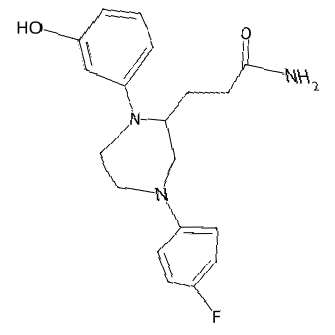 NC(=O)CCC1CN(c2ccc(F)cc2)CCN1c1cccc(O)c1